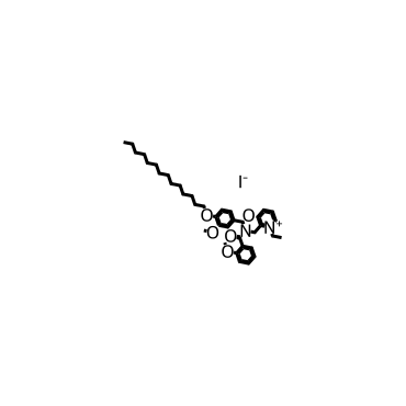 CCCCCCCCCCCCCCOc1ccc(C(=O)N(Cc2cccc[n+]2CC)C(=O)c2ccccc2OC)cc1OC.[I-]